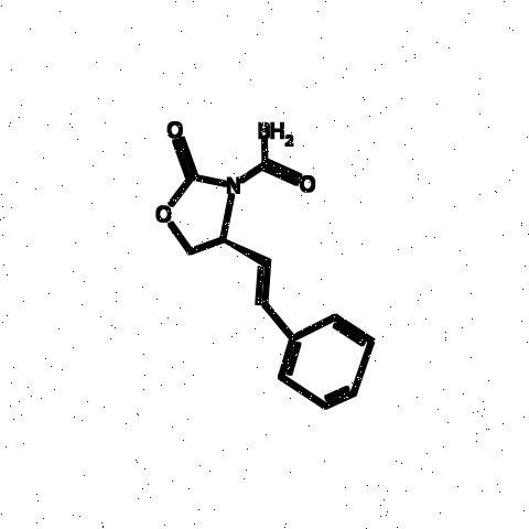 BC(=O)N1C(=O)OC[C@@H]1/C=C/c1ccccc1